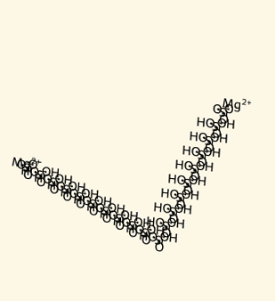 O=[Si](O)O.O=[Si](O)O.O=[Si](O)O.O=[Si](O)O.O=[Si](O)O.O=[Si](O)O.O=[Si](O)O.O=[Si](O)O.O=[Si](O)O.O=[Si](O)O.O=[Si](O)O.O=[Si](O)O.O=[Si](O)O.O=[Si](O)O.O=[Si](O)O.O=[Si](O)O.O=[Si](O)O.O=[Si](O)O.O=[Si]([O-])[O-].O=[Si]([O-])[O-].[Mg+2].[Mg+2]